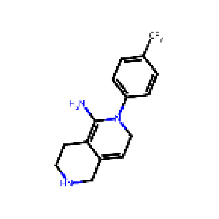 NC1=C2CCNCC2=CCN1c1ccc(C(F)(F)F)cc1